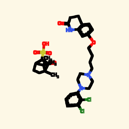 CC12CCC(C(S(=O)(=O)O)C1=O)C2(C)C.O=C1CCc2ccc(OCCCCN3CCN(c4cccc(Cl)c4Cl)CC3)cc2N1